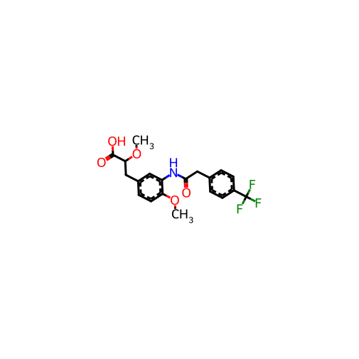 COc1ccc(CC(OC)C(=O)O)cc1NC(=O)Cc1ccc(C(F)(F)F)cc1